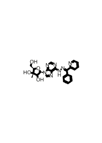 C[C@]1(O)C(O)[C@H](n2cnc3c(N/N=C(\c4ccccc4)c4ccccn4)ncnc32)O[C@@H]1CO